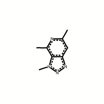 Cc1cc2nnn(C)c2c(C)n1